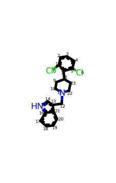 Clc1cccc(Cl)c1C1CCN(Cc2c[nH]c3ccccc23)CC1